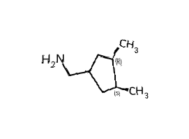 C[C@@H]1C[C](CN)C[C@@H]1C